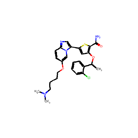 CC(Oc1cc(-c2cnc3ccc(OCCCCN(C)C)cn23)sc1C(N)=O)c1ccccc1Cl